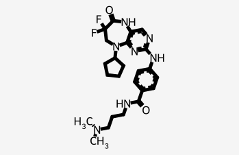 CN(C)CCCNC(=O)c1ccc(Nc2ncc3c(n2)N(C2CCCC2)CC(F)(F)C(=O)N3)cc1